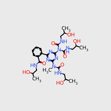 CC(O)CNC(=O)c1ccccc1-c1nc(N(C)C(=O)NCC(C)O)nc(N(C(=O)NCC(C)O)C(=O)NCC(C)O)n1